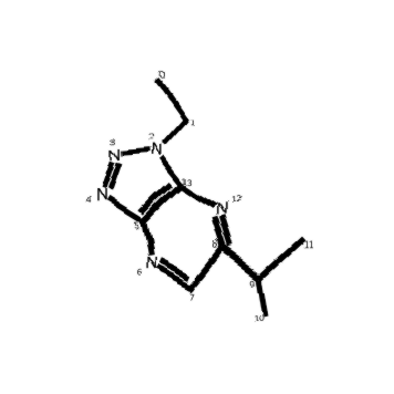 CCn1nnc2ncc(C(C)C)nc21